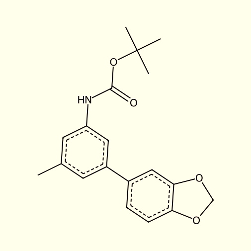 Cc1cc(NC(=O)OC(C)(C)C)cc(-c2ccc3c(c2)OCO3)c1